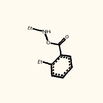 CCNOC(=O)c1ccccc1CC